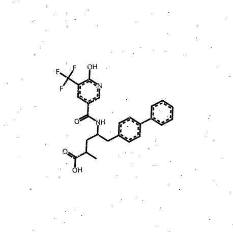 CC(CC(Cc1ccc(-c2ccccc2)cc1)NC(=O)c1cnc(O)c(C(F)(F)F)c1)C(=O)O